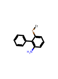 CCSc1cccc(N)c1-c1ccccc1